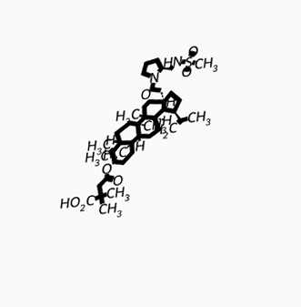 C=C(C)[C@@H]1CC[C@]2(CC(=O)N3CCC[C@H]3CNS(C)(=O)=O)CC[C@]3(C)[C@H](CC[C@@H]4[C@@]5(C)CC[C@H](OC(=O)CC(C)(C)C(=O)O)C(C)(C)[C@@H]5CC[C@]43C)[C@@H]12